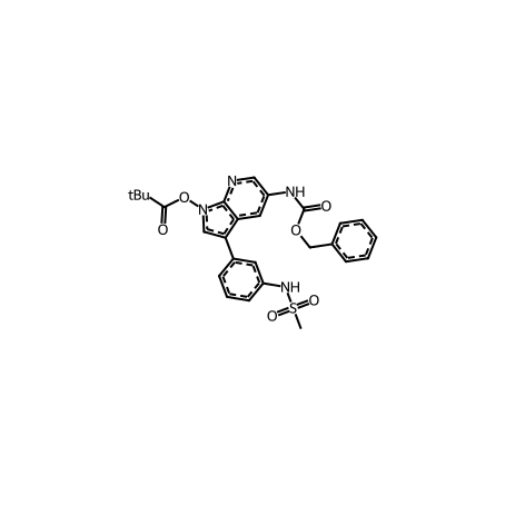 CC(C)(C)C(=O)On1cc(-c2cccc(NS(C)(=O)=O)c2)c2cc(NC(=O)OCc3ccccc3)cnc21